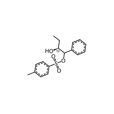 CC[C@H](O)C(OS(=O)(=O)c1ccc(C)cc1)c1ccccc1